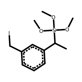 CO[Si](OC)(OC)C(C)c1cccc(CI)c1